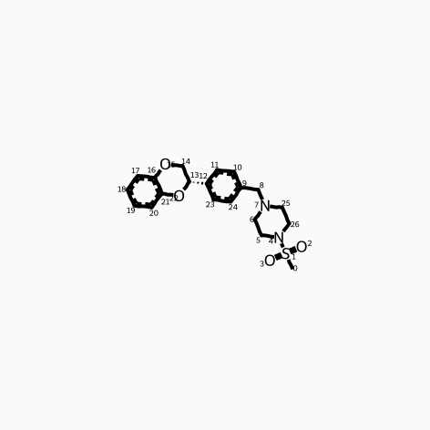 CS(=O)(=O)N1CCN(Cc2ccc([C@H]3COc4ccccc4O3)cc2)CC1